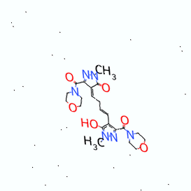 CN1N=C(C(=O)N2CCOCC2)/C(=C/CC=Cc2c(C(=O)N3CCOCC3)nn(C)c2O)C1=O